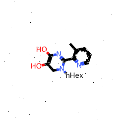 CCCCCCN1CC(O)=C(O)N=C1c1ncccc1C